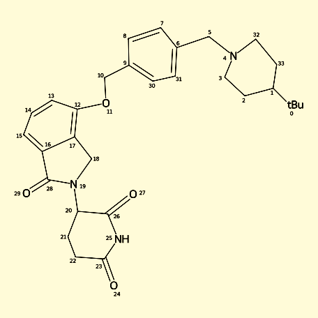 CC(C)(C)C1CCN(Cc2ccc(COc3cccc4c3CN(C3CCC(=O)NC3=O)C4=O)cc2)CC1